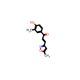 Cc1cc(C=CC(=O)c2ccc(O)c(C)c2)no1